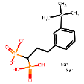 C[Si](C)(C)c1cccc(CCC(P(=O)([O-])[O-])P(=O)(O)O)c1.[Na+].[Na+]